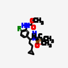 COC(=O)Nc1cc(C(CCC2CC2)N[S@@+]([O-])C(C)(C)C)ccc1F